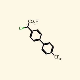 O=C(O)C(Cl)c1ccc(-c2ccc(C(F)(F)F)cc2)cc1